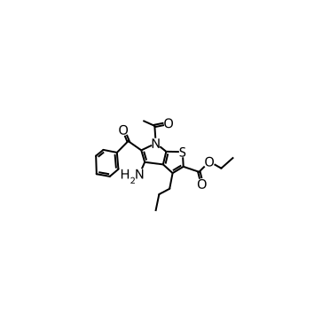 CCCc1c(C(=O)OCC)sc2c1c(N)c(C(=O)c1ccccc1)n2C(C)=O